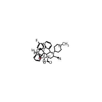 CCOc1ncccc1C1C(C2C(=O)Nc3cc(F)ccc32)[N+](C(=O)[O-])(S(=O)(=O)c2ccccc2)CC(C#N)N1C1CCN(C)CC1